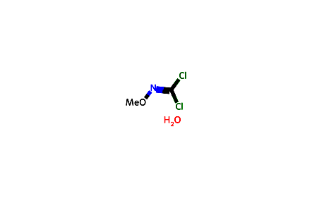 CON=C(Cl)Cl.O